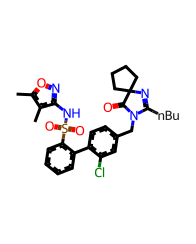 CCCCC1=NC2(CCCC2)C(=O)N1Cc1ccc(-c2ccccc2S(=O)(=O)Nc2noc(C)c2C)c(Cl)c1